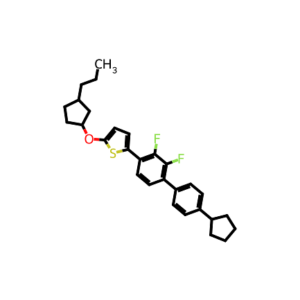 CCCC1CCC(Oc2ccc(-c3ccc(-c4ccc(C5CCCC5)cc4)c(F)c3F)s2)C1